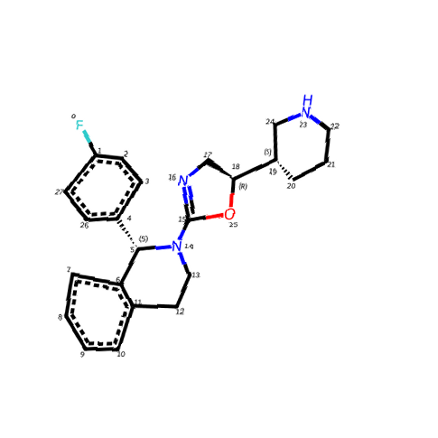 Fc1ccc([C@H]2c3ccccc3CCN2C2=NC[C@@H]([C@H]3CCCNC3)O2)cc1